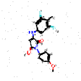 COc1ccc(N2C(=O)C=C(Nc3cc(F)c(C)c(F)c3)C2=O)cc1